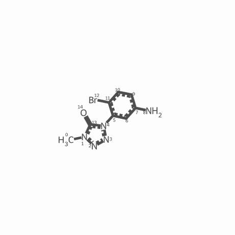 Cn1nnn(-c2cc(N)ccc2Br)c1=O